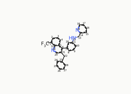 FC(F)(F)c1cccc2c(-c3cccc(NCc4ccccn4)c3)c(Cc3ccccc3)cnc12